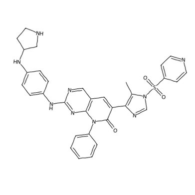 Cc1c(-c2cc3cnc(Nc4ccc(NC5CCNC5)cc4)nc3n(-c3ccccc3)c2=O)ncn1S(=O)(=O)c1ccncc1